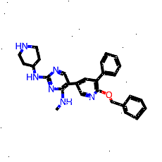 CNc1nc(NC2CCNCC2)ncc1-c1cnc(OCc2ccccc2)c(-c2ccccc2)c1